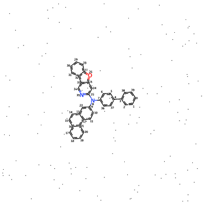 c1ccc(-c2ccc(N(c3ccc4c(ccc5ccccc54)c3)c3cc4oc5ccccc5c4cn3)cc2)cc1